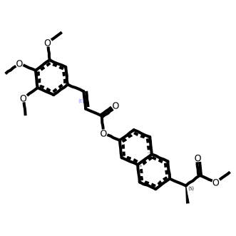 COC(=O)[C@@H](C)c1ccc2cc(OC(=O)/C=C/c3cc(OC)c(OC)c(OC)c3)ccc2c1